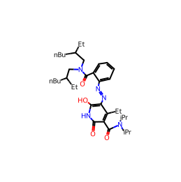 CCCCC(CC)CN(CC(CC)CCCC)C(=O)c1ccccc1/N=N/c1c(O)[nH]c(=O)c(C(=O)N(C(C)C)C(C)C)c1CC